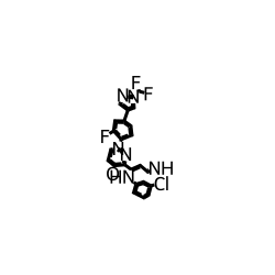 N=C/C=C(\Nc1cccc(Cl)c1)c1nn(-c2ccc(-c3cnn(C(F)F)c3)cc2F)ccc1=O